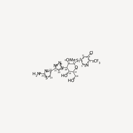 COC1C(Sc2cnc(C(F)(F)F)c(Cl)c2)OC(CO)C(O)C1n1cc(-c2csc(N)n2)nn1